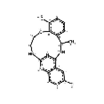 C[C@H]1Nc2nc(nc3cnc(Cl)cc23)NCCOc2c1cccc2C(F)(F)F